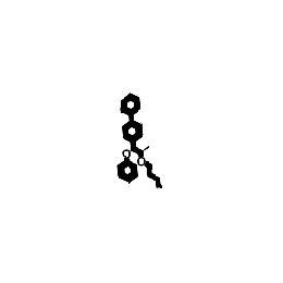 CCCCO[C@@H](C)[C@H](Oc1ccccc1)c1ccc(-c2ccccc2)cc1